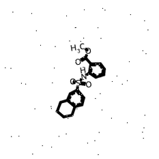 COC(=O)c1ccccc1NS(=O)(=O)c1ccc2c(c1)CCCC2